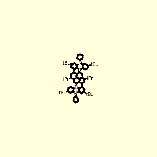 CC(C)c1cc2c3c(cc4c(C(C)C)cc5c6c(cc1c3c46)B1c3ccc(C(C)(C)C)cc3N(c3ccccc3)c3cc(C(C)(C)C)cc-5c31)B1c3ccc(C(C)(C)C)cc3N(c3ccccc3)c3cc(C(C)(C)C)cc-2c31